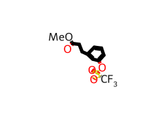 COC(=O)CCc1cccc(OS(=O)(=O)C(F)(F)F)c1